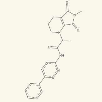 C[C@H](C(=O)Nc1ccc(-c2ccccc2)nn1)N1CCCC2=C1C(=O)N(C)C2=O